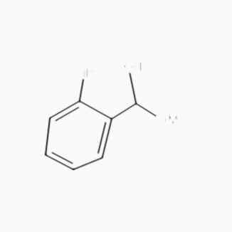 COC(O)c1ccccc1C(C)C